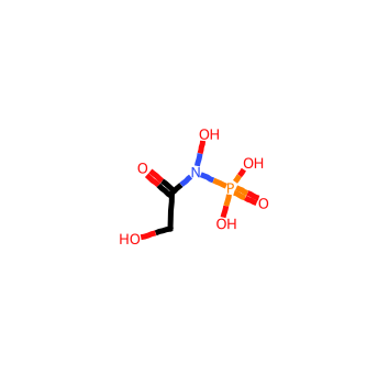 O=C(CO)N(O)P(=O)(O)O